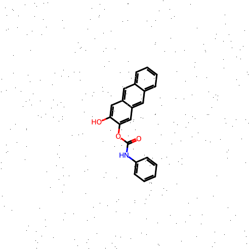 O=C(Nc1ccccc1)Oc1cc2cc3ccccc3cc2cc1O